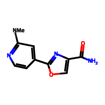 CNc1cc(-c2nc(C(N)=O)co2)ccn1